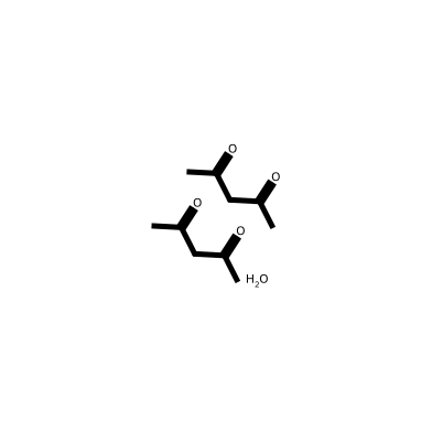 CC(=O)CC(C)=O.CC(=O)CC(C)=O.O